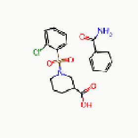 NC(=O)c1ccccc1.O=C(O)C1CCCN(S(=O)(=O)c2ccccc2Cl)C1